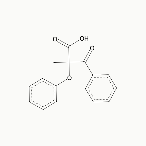 CC(Oc1ccccc1)(C(=O)O)C(=O)c1ccccc1